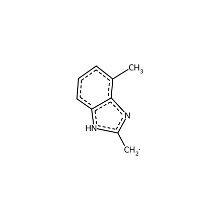 [CH2]c1nc2c(C)cccc2[nH]1